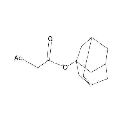 CC(=O)CC(=O)OC12CC3CC(CC(C3)C1)C2